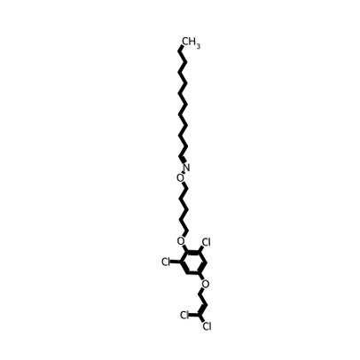 CCCCCCCCCCCC=NOCCCCCOc1c(Cl)cc(OCC=C(Cl)Cl)cc1Cl